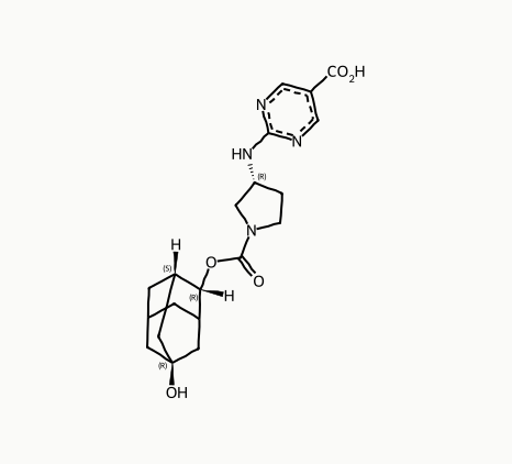 O=C(O)c1cnc(N[C@@H]2CCN(C(=O)O[C@@H]3C4CC5C[C@H]3C[C@@](O)(C5)C4)C2)nc1